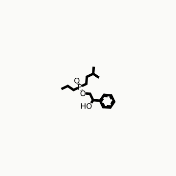 CCCP(=O)(CCC(C)C)OCC(O)c1ccccc1